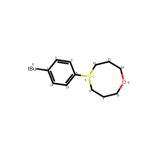 CC(C)(C)c1ccc([SH]2CCCOCCC2)cc1